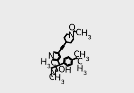 CC(=O)N1CCC(C#Cc2cncc(C(O)(c3ccc(C(C)C)cc3)C3(C)CN(C)C3)c2)CC1